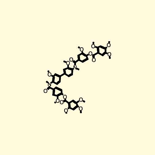 COc1cc(OC)c(C(=O)Oc2ccc(C(=O)N(C)c3ccc(-c4ccc(N(C)C(=O)c5ccc(OC(=O)c6cc(OC)c(OC)cc6OC)c(OC)c5)c(OC)c4)cc3OC)cc2OC)cc1OC